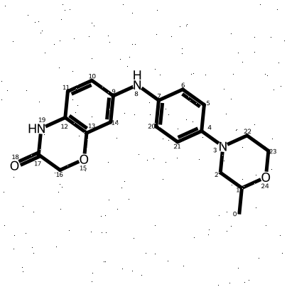 CC1CN(c2ccc(Nc3ccc4c(c3)OCC(=O)N4)cc2)CCO1